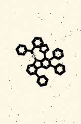 C1=CCC(c2c(-c3ccccc3)c(-c3ccccc3)cc3c2[CH]([Zr]=[C](c2ccccc2)c2ccccc2)c2cccc(-c4ccccc4)c2-3)=C1